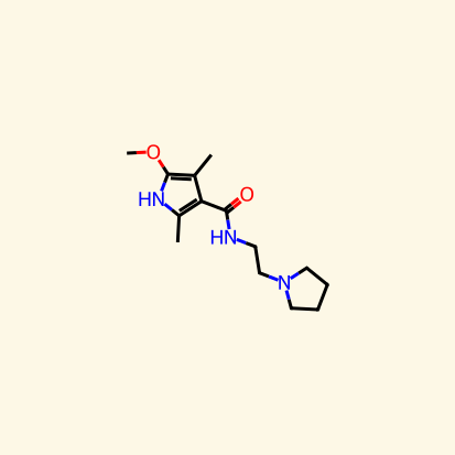 COc1[nH]c(C)c(C(=O)NCCN2CCCC2)c1C